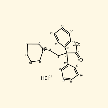 CCC(=O)C(CCN1CCCCC1)(c1ccccc1)c1ccccc1.Cl